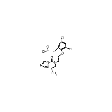 CCCN(CCOc1c(Cl)cc(Cl)cc1Cl)C(=O)n1ccnc1.ClCCl